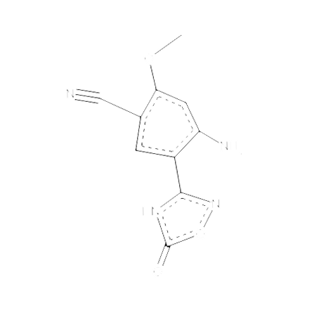 COc1cc(N)c(-c2noc(=O)[nH]2)cc1C#N